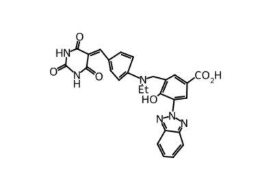 CCN(Cc1cc(C(=O)O)cc(-n2nc3ccccc3n2)c1O)c1ccc(C=C2C(=O)NC(=O)NC2=O)cc1